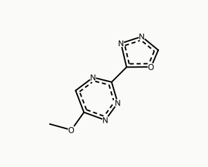 COc1cnc(-c2nnco2)nn1